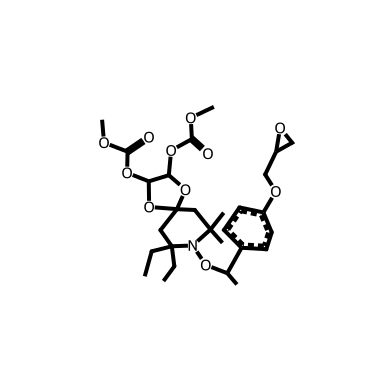 CCC1(CC)CC2(CC(C)(C)N1OC(C)c1ccc(OCC3CO3)cc1)OC(OC(=O)OC)C(OC(=O)OC)O2